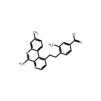 Cc1ccc2c(c1)nc(N)c1nccc(CCc3ccc(C(=O)Cl)cc3C)c12